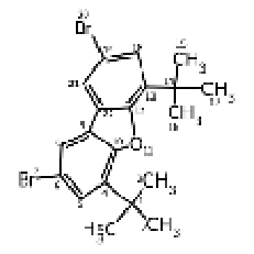 CC(C)(C)c1cc(Br)cc2c1oc1c(C(C)(C)C)cc(Br)cc12